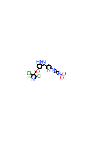 COC(=O)N1CC2(C1)CN(c1ccc(-c3n[nH]c4ccc(O[C@@H](C)c5c(Cl)cnc(F)c5Cl)cc34)cn1)C2